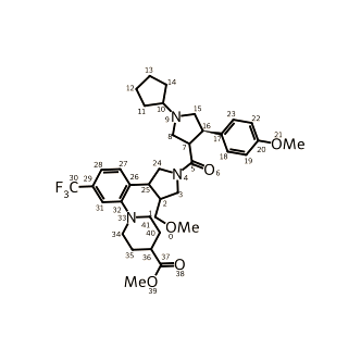 COCC1CN(C(=O)C2CN(C3CCCC3)C[C@H]2c2ccc(OC)cc2)CC1c1ccc(C(F)(F)F)cc1N1CCC(C(=O)OC)CC1